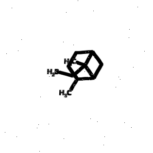 BCC1(C)C2CCC(C)C1C2